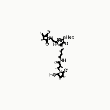 CCCCCCNC(=O)[C@H](CCCCNC(=O)CCN1C(=O)C=CC1O)NC(=O)CCN1C(=O)CC(C)C1=O